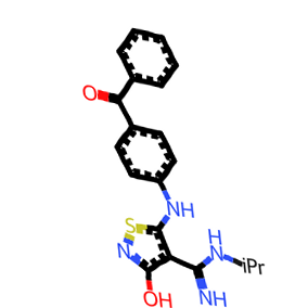 CC(C)NC(=N)c1c(O)nsc1Nc1ccc(C(=O)c2ccccc2)cc1